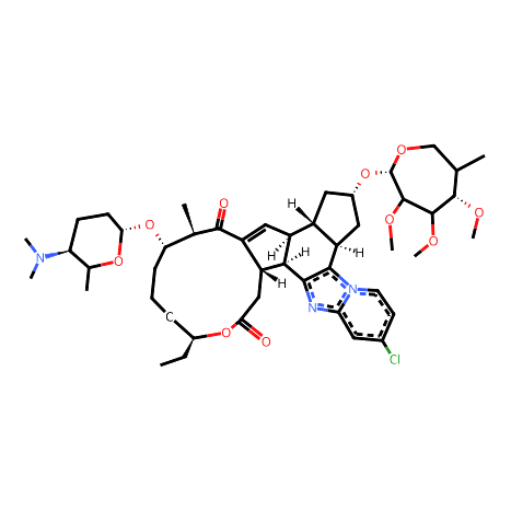 CC[C@H]1CCC[C@H](O[C@H]2CC[C@H](N(C)C)C(C)O2)[C@@H](C)C(=O)C2=C[C@H]3[C@@H]4C[C@H](O[C@@H]5OCC(C)[C@H](OC)C(OC)C5OC)C[C@H]4c4c(nc5cc(Cl)ccn45)[C@H]3[C@@H]2CC(=O)O1